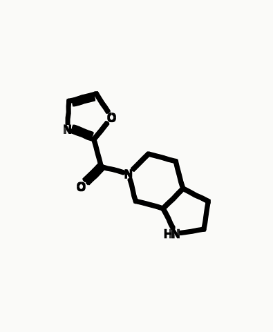 O=C(c1ncco1)N1CCC2CCNC2C1